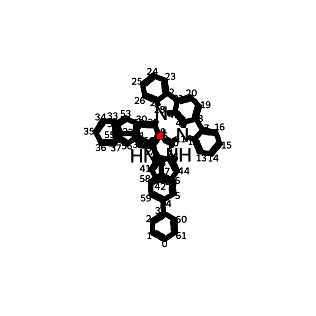 c1ccc(-c2ccc(C3NC(n4c5ccccc5c5ccc6c7ccccc7n(-c7cc(-c8ccccc8)cc(-c8ccccc8)c7)c6c54)=NC(c4ccccc4)N3)cc2)cc1